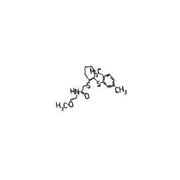 COCCNC(=O)CSC1CCCCC1Sc1cc(C)ccc1C